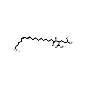 CCCCC/C=C\C=C\CCCCCCCCC(=O)NC(CCC(=O)O)C(=O)O